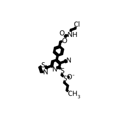 CCCC[S+]([O-])CSc1nc(-c2nccs2)cc(-c2ccc(COC(=O)NCCCl)cc2)c1C#N